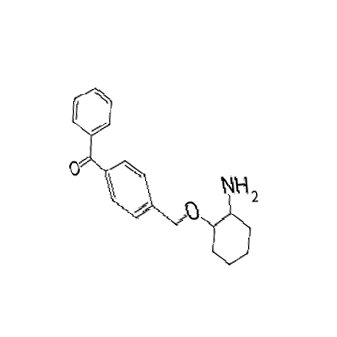 NC1CCCCC1OCc1ccc(C(=O)c2ccccc2)cc1